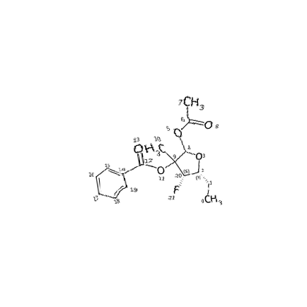 CC[C@H]1OC(OC(C)=O)C(C)(OC(=O)c2ccccc2)[C@H]1F